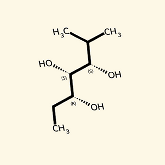 CC[C@@H](O)[C@H](O)[C@@H](O)C(C)C